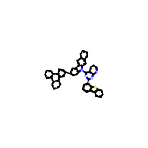 c1ccc2cc3c(cc2c1)c1cc(-c2ccc4c5ccccc5c5ccccc5c4c2)ccc1n3-c1nc(-c2cccc3c2sc2ccccc23)nc2ncccc12